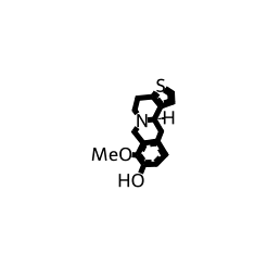 COc1c(O)ccc2c1CN1CCc3sccc3[C@H]1C2